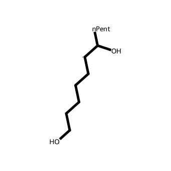 CCCCCC(O)[CH]CCCCCO